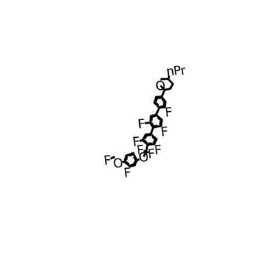 CCCC1CCC(c2ccc(-c3cc(F)c(-c4cc(F)c(C(F)(F)Oc5ccc(OCF)c(F)c5)c(F)c4)c(F)c3)c(F)c2)OC1